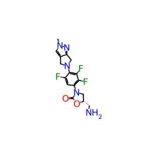 Cn1cc2c(n1)CN(c1c(F)cc(N3C[C@H](CN)OC3=O)c(F)c1F)C2